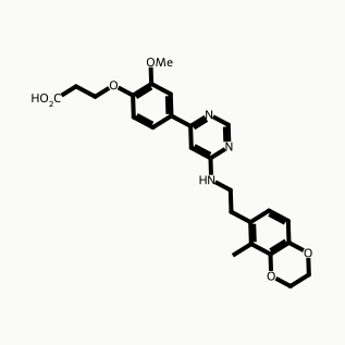 COc1cc(-c2cc(NCCc3ccc4c(c3C)OCCO4)ncn2)ccc1OCCC(=O)O